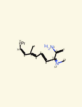 C=C(N)C(/C=C/C=C(C)/C=C\CCC)=N\C